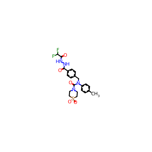 Cc1ccc(N(Cc2ccc(C(=O)NNC(=O)C(F)F)cc2)C(=O)N2CCS(=O)(=O)CC2)cc1